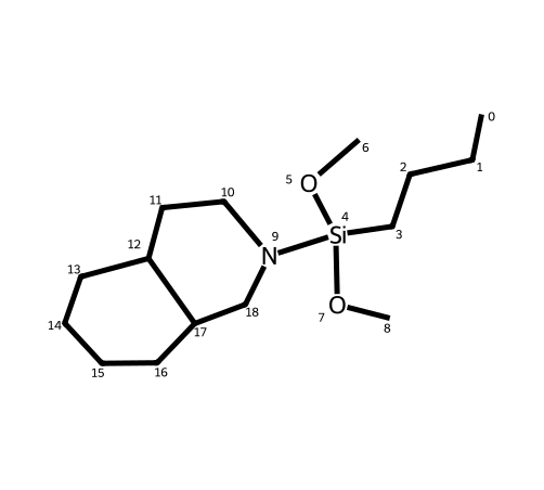 CCCC[Si](OC)(OC)N1CCC2CCCCC2C1